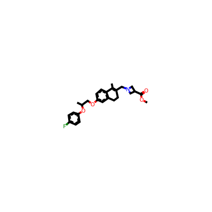 COC(=O)C1CN(CC2=C(C)c3ccc(OCC(C)Oc4ccc(F)cc4)cc3CC2)C1